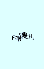 CCn1nnc(-c2cnn(-c3ccc(F)cc3)c2S)n1